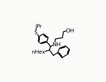 CCCCCCC(Cc1ccccc1)C(NCCCO)c1ccc(SC(C)C)cc1